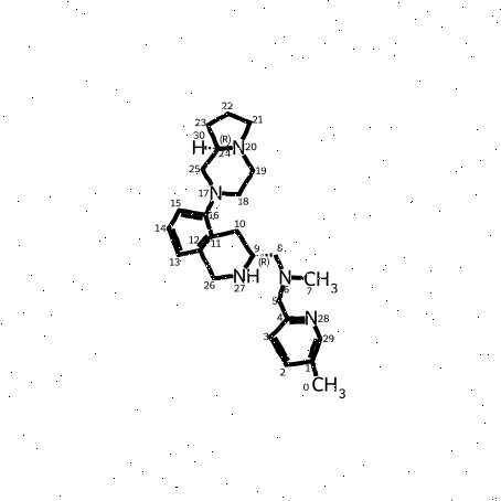 Cc1ccc(CN(C)C[C@H]2Cc3c(cccc3N3CCN4CCC[C@@H]4C3)CN2)nc1